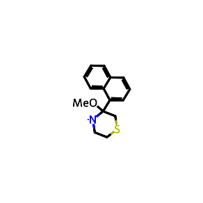 COC1(c2cccc3ccccc23)CSCC[N]1